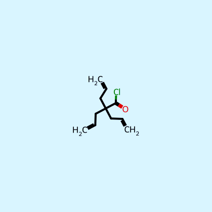 C=CCC(CC=C)(CC=C)C(=O)Cl